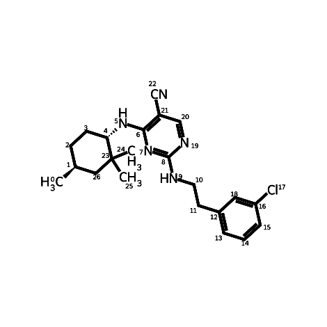 C[C@H]1CC[C@H](Nc2nc(NCCc3cccc(Cl)c3)ncc2C#N)C(C)(C)C1